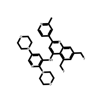 Cc1cc(-c2cc(Nc3cc(N4CCOCC4)cnc3N3CCOCC3)c3c(CF)cc(CF)cc3n2)ccn1